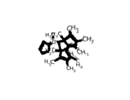 CC1=C(C)C(C)([CH]([Zr]([CH3])[CH]2C=CC=C2)C2(C)C(C)=C(C)C(C)=C2C)C(C)=C1C